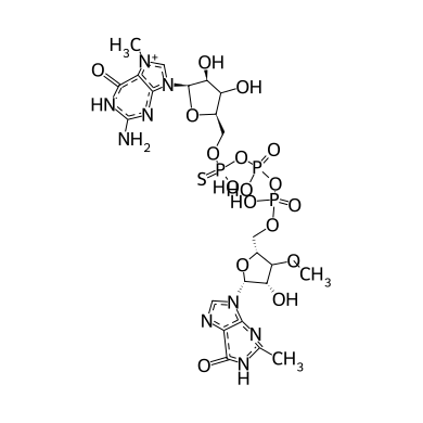 COC1[C@@H](COP(=O)(O)OP(=O)(O)OP(O)(=S)OC[C@H]2O[C@@H](n3c[n+](C)c4c(=O)[nH]c(N)nc43)[C@@H](O)C2O)O[C@@H](n2cnc3c(=O)[nH]c(C)nc32)[C@H]1O